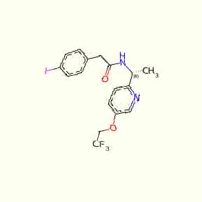 C[C@@H](NC(=O)Cc1ccc(I)cc1)c1ccc(OCC(F)(F)F)cn1